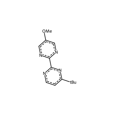 COc1cnc(-c2nccc(C(C)(C)C)n2)nc1